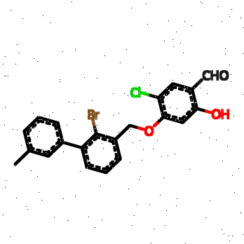 Cc1cccc(-c2cccc(COc3cc(O)c(C=O)cc3Cl)c2Br)c1